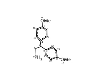 COc1ccc(C(CP)c2ccc(OC)cc2)cc1